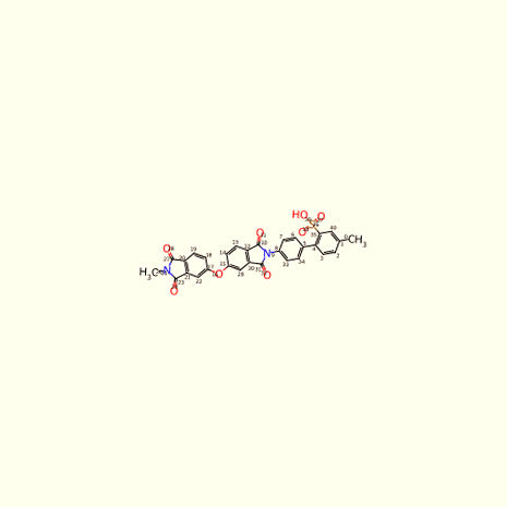 Cc1ccc(-c2ccc(N3C(=O)c4ccc(Oc5ccc6c(c5)C(=O)N(C)C6=O)cc4C3=O)cc2)c(S(=O)(=O)O)c1